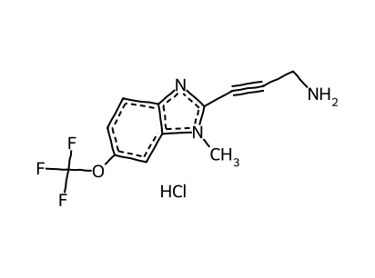 Cl.Cn1c(C#CCN)nc2ccc(OC(F)(F)F)cc21